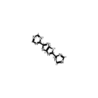 c1ncnc(-c2nc3sc(-c4ncncn4)nc3s2)n1